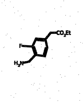 CCOC(=O)Cc1ccc(CN)c(F)c1